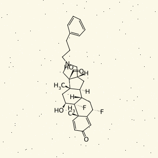 C[C@]12C=CC(=O)C=C1[C@@H](F)C[C@H]1[C@@H]3C[C@H]4CN(CCCc5ccccc5)C[C@@]4(C(=O)O)[C@@]3(C)C[C@H](O)[C@@]12F